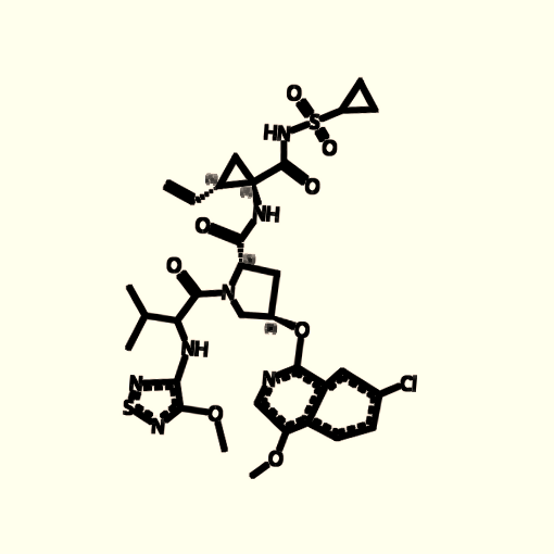 C=C[C@@H]1C[C@]1(NC(=O)[C@@H]1C[C@@H](Oc2ncc(OC)c3ccc(Cl)cc23)CN1C(=O)C(Nc1nsnc1OC)C(C)C)C(=O)NS(=O)(=O)C1CC1